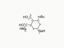 CCCCC1CCCC(C(=O)O)C1C(=O)O.[NaH].[NaH]